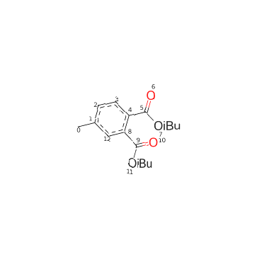 Cc1ccc(C(=O)OCC(C)C)c(C(=O)OCC(C)C)c1